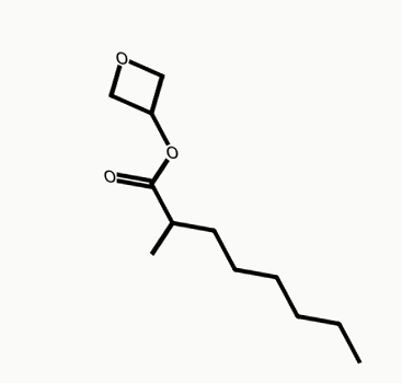 CCCCCCC(C)C(=O)OC1COC1